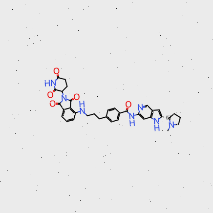 CN1CCC[C@H]1c1cc2cnc(NC(=O)c3ccc(CCCNc4cccc5c4C(=O)N(C4CCC(=O)NC4=O)C5=O)cc3)cc2[nH]1